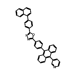 c1cncc(-c2c3ccccc3c(-c3ccc(-c4nnc(-c5ccc(-c6cccc7ccccc67)cc5)o4)cc3)c3ccccc23)c1